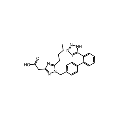 CCCCc1nc(CC(=O)O)nn1Cc1ccc(-c2ccccc2-c2nnn[nH]2)cc1